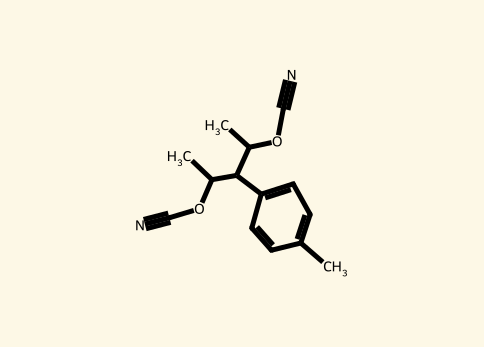 Cc1ccc(C(C(C)OC#N)C(C)OC#N)cc1